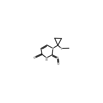 CSC1(n2ccc(=O)[nH]c2=S=O)CC1